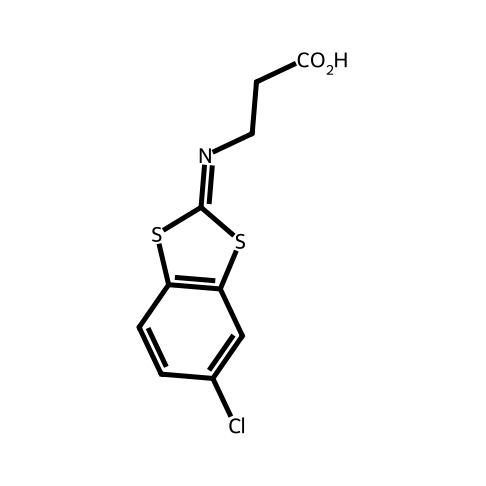 O=C(O)CC/N=c1/sc2ccc(Cl)cc2s1